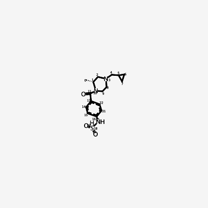 C[C@@H]1CN(CC2CC2)CCN1C(=O)c1ccc(N[SH](=O)=O)cc1